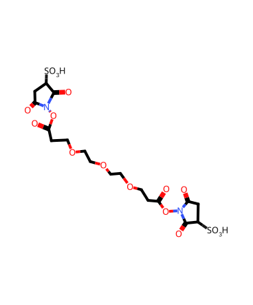 O=C(CCOCCOCCOCCC(=O)ON1C(=O)CC(S(=O)(=O)O)C1=O)ON1C(=O)CC(S(=O)(=O)O)C1=O